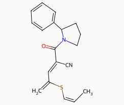 C=C(/C=C(\C#N)C(=O)N1CCCC1c1ccccc1)S/C=C\C